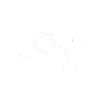 COc1cccc([SiH](C2COC2)C2(C)OCO2)c1